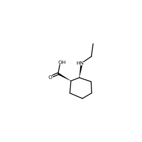 CCN[C@H]1CCCC[C@H]1C(=O)O